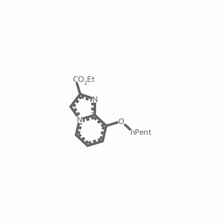 CCCCCOc1cccn2cc(C(=O)OCC)nc12